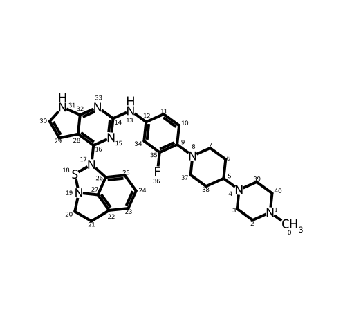 CN1CCN(C2CCN(c3ccc(Nc4nc(N5SN6CCc7cccc5c76)c5cc[nH]c5n4)cc3F)CC2)CC1